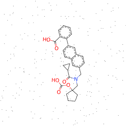 O=C(O)OC1(CN(Cc2ccc3cc(-c4ccccc4C(=O)O)ccc3c2)C(=O)C2CC2)CCCC1